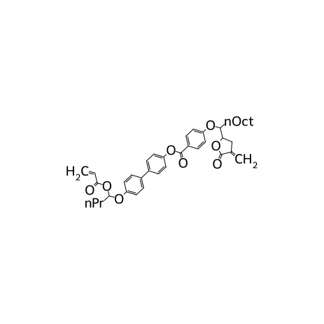 C=CC(=O)OC(CCC)Oc1ccc(-c2ccc(OC(=O)c3ccc(OC(CCCCCCCC)C4CC(=C)C(=O)O4)cc3)cc2)cc1